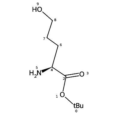 CC(C)(C)OC(=O)[C@@H](N)CCCO